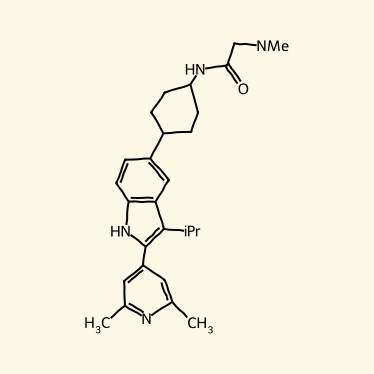 CNCC(=O)NC1CCC(c2ccc3[nH]c(-c4cc(C)nc(C)c4)c(C(C)C)c3c2)CC1